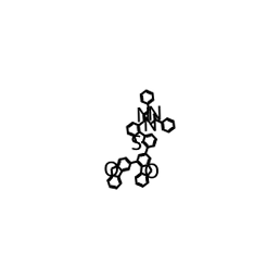 c1ccc(-c2nc(-c3ccccc3)nc(-c3cccc4sc5c(-c6cc(-c7ccc8oc9ccccc9c8c7)c7c(c6)oc6ccccc67)cccc5c34)n2)cc1